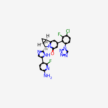 Nc1ccc(-c2cnc([C@@H]3[C@H]4C[C@H]4c4cc(-c5c(-n6cnnn6)ccc(Cl)c5F)cc(=O)n43)[nH]2)c(F)n1